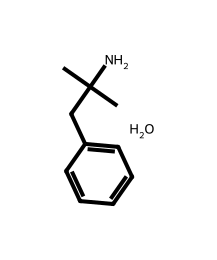 CC(C)(N)Cc1ccccc1.O